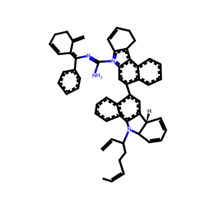 C=CC(CC/C=C\C)N1c2c(cc(-c3cc4c(c5c(n4/C(N)=N/C(=C4/C=CCCC4=C)c4ccccc4)C=CCC5)c4ccccc34)c3ccccc23)[C@@H]2C=CC=CC21